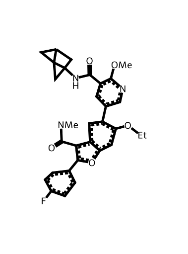 CCOc1cc2oc(-c3ccc(F)cc3)c(C(=O)NC)c2cc1-c1cnc(OC)c(C(=O)NC23CC4CC42C3)c1